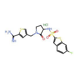 Cl.N=C(N)c1cc(CN2CCC(NS(=O)(=O)c3cc4ccc(F)cc4s3)C2=O)cs1